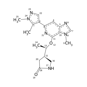 Cc1c(-c2cc3ncn(C)c3c(O[C@H](C)[C@H]3CNC(=O)C3)n2)cnn1C